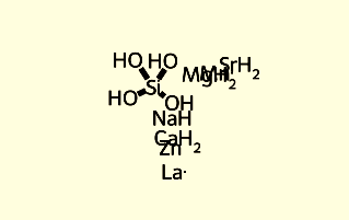 O[Si](O)(O)O.[CaH2].[La].[MgH2].[Mn].[NaH].[SrH2].[Zn]